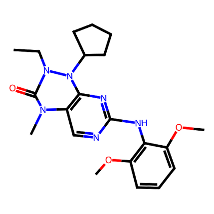 CCN1C(=O)N(C)c2cnc(Nc3c(OC)cccc3OC)nc2N1C1CCCC1